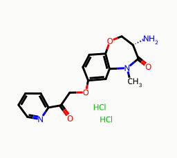 CN1C(=O)[C@@H](N)COc2ccc(OCC(=O)c3ccccn3)cc21.Cl.Cl